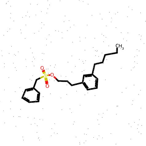 CCCCCc1cccc(CCCOS(=O)(=O)Cc2ccccc2)c1